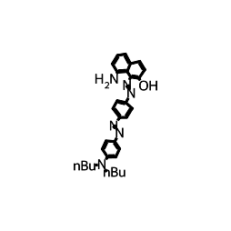 CCCCN(CCCC)c1ccc(/N=N/c2ccc(/N=N/c3c(O)ccc4cccc(N)c34)cc2)cc1